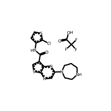 O=C(Nc1ccsc1Cl)c1csc2ncc(N3CCCNCC3)nc12.O=C(O)C(F)(F)F